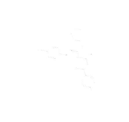 NC(CC(N)c1ccc(Cl)cc1)N/C(=N\C(=O)c1ccc(Cl)c(F)c1)NC1CCOCC1